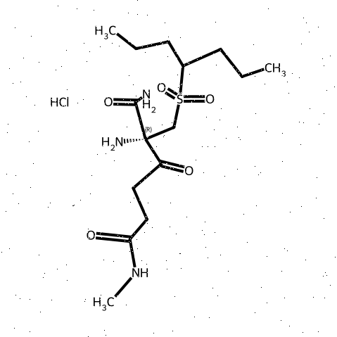 CCCC(CCC)S(=O)(=O)C[C@](N)(C(N)=O)C(=O)CCC(=O)NC.Cl